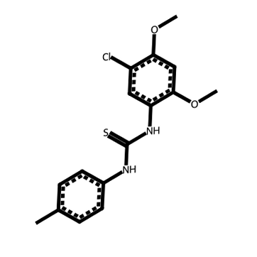 COc1cc(OC)c(NC(=S)Nc2ccc(C)cc2)cc1Cl